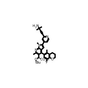 Cc1nc2c(cc(-c3ccnc(C#CC(C)(C)N)c3)n2C)c(-c2cc(F)c3c(c2C)CCCO3)c1[C@H](OC(C)(C)C)C(=O)O